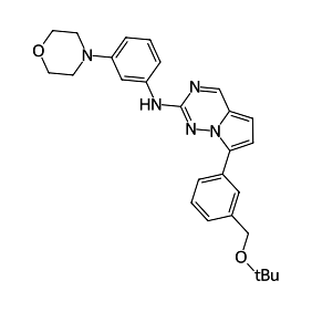 CC(C)(C)OCc1cccc(-c2ccc3cnc(Nc4cccc(N5CCOCC5)c4)nn23)c1